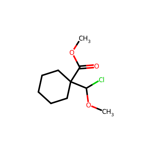 COC(=O)C1(C(Cl)OC)CCCCC1